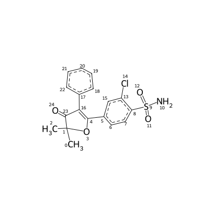 CC1(C)OC(c2ccc(S(N)(=O)=O)c(Cl)c2)=C(c2ccccc2)C1=O